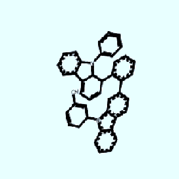 N#CC1=CC(n2c3ccccc3c3ccc(-c4ccccc4C4C=CC=C5c6ccccc6N(C6=CC=C=C=C6)C54)cc32)CC=C1